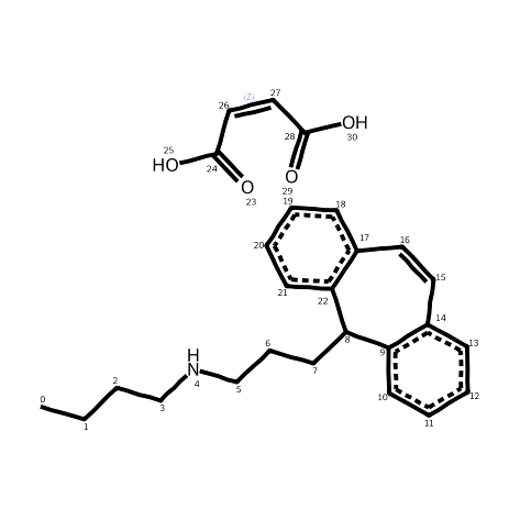 CCCCNCCCC1c2ccccc2C=Cc2ccccc21.O=C(O)/C=C\C(=O)O